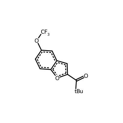 CC(C)(C)C(=O)c1cc2cc(OC(F)(F)F)ccc2o1